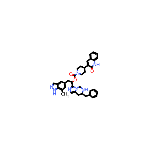 Cc1cc(CC(OC(=O)N2CCC(c3cc4ccccc4[nH]c3=O)CC2)c2ncc3n2CNC(Cc2ccccc2)C3)cc2cn[nH]c12